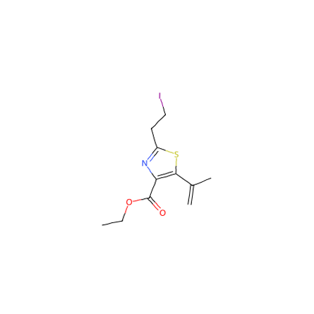 C=C(C)c1sc(CCI)nc1C(=O)OCC